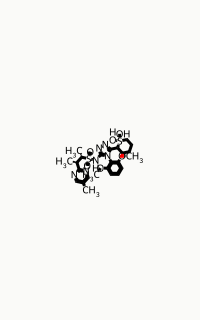 COc1cccc(OC)c1-n1c(NS(=O)(=O)[C@@H](C)[C@H](C)c2ncc(C)cn2)nnc1C1CCCCS1(O)O